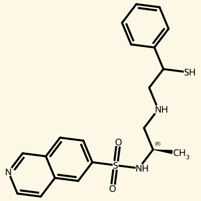 C[C@H](CNCC(S)c1ccccc1)NS(=O)(=O)c1ccc2cnccc2c1